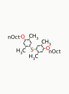 CCCCCCCCOc1cc(C)c(Sc2cc(C)c(OCCCCCCCC)cc2C)cc1C